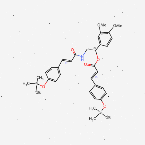 COc1ccc([C@@H](CNC(=O)/C=C/c2ccc(O[Si](C)(C)C(C)(C)C)cc2)OC(=O)/C=C/c2ccc(O[Si](C)(C)C(C)(C)C)cc2)cc1OC